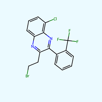 FC(F)(F)c1ccccc1-c1nc2c(Cl)cccc2nc1CCBr